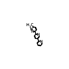 Cc1ccc(-c2ccc(-c3ccccn3)cn2)nn1